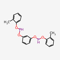 Cc1ccccc1OPOc1cccc(OPOc2ccccc2C)c1